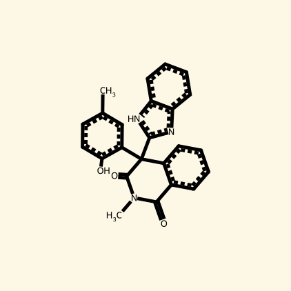 Cc1ccc(O)c(C2(c3nc4ccccc4[nH]3)C(=O)N(C)C(=O)c3ccccc32)c1